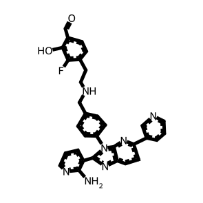 Nc1ncccc1-c1nc2ccc(-c3cccnc3)nc2n1-c1ccc(CNCCc2ccc(C=O)c(O)c2F)cc1